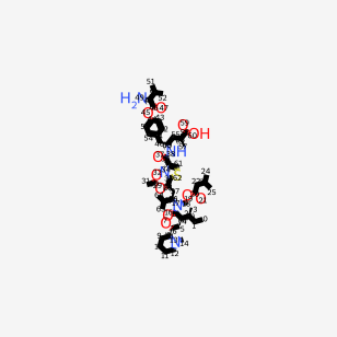 CC[C@H](C)[C@H](CC(=O)[C@H]1CCCCN1C)C(=O)N(COC(=O)CC(C)C)[C@H](C[C@@H](OC(C)=O)c1nc(C(=O)N[C@@H](Cc2ccc(OC(=O)[C@H](N)C(C)C)cc2)C[C@H](C)C(=O)O)cs1)C(C)C